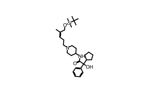 CC(=CCCN1CCC(NC(=O)C(O)(c2ccccc2)C2CCCC2)CC1)CO[Si](C)(C)C(C)(C)C